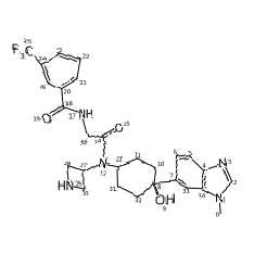 Cn1cnc2ccc(C3(O)CCC(N(C(=O)CNC(=O)c4cccc(C(F)(F)F)c4)C4CNC4)CC3)cc21